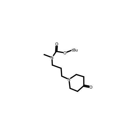 CN(CCCN1CCC(=O)CC1)C(=O)OC(C)(C)C